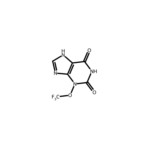 O=c1[nH]c(=O)n(OC(F)(F)F)c2nc[nH]c12